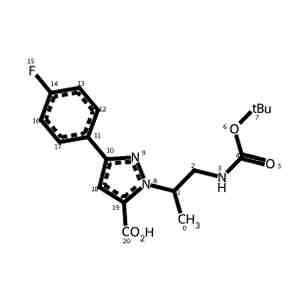 CC(CNC(=O)OC(C)(C)C)n1nc(-c2ccc(F)cc2)cc1C(=O)O